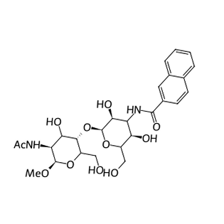 CO[C@@H]1OC(CO)[C@@H](O[C@@H]2OC(CO)[C@H](O)C(NC(=O)c3ccc4ccccc4c3)[C@@H]2O)C(O)[C@@H]1NC(C)=O